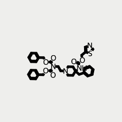 O=C(NC1(Cc2ccccc2)CCN(CCN(C(=O)OCc2ccccc2)C(=O)OCc2ccccc2)CC1)OCc1cncs1